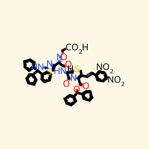 O=C(O)CO/N=C(\C(=O)NC1C(=O)N2C(C(=O)OC(c3ccccc3)c3ccccc3)=C(/C=C/c3ccc([N+](=O)[O-])cc3[N+](=O)[O-])CS[C@H]12)c1csc(NC(c2ccccc2)(c2ccccc2)c2ccccc2)n1